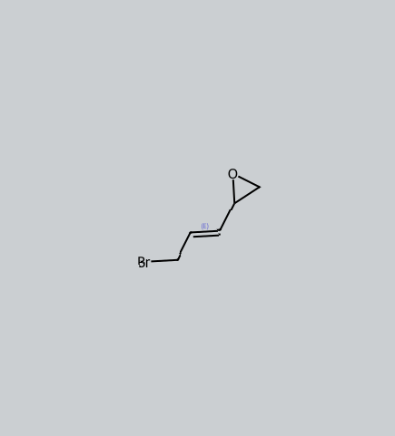 BrC/C=C/C1CO1